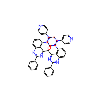 O=C(c1nc(-c2ccccc2)nc2cccc(N3CCN(c4ccncc4)CC3)c12)c1nc(-c2ccccc2)nc2cccc(N3CCN(c4ccncc4)CC3)c12